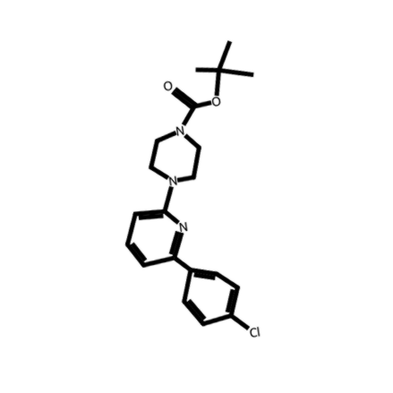 CC(C)(C)OC(=O)N1CCN(c2cccc(-c3ccc(Cl)cc3)n2)CC1